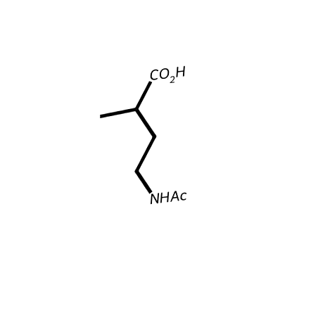 CC(=O)NCCC(C)C(=O)O